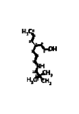 CCC[C@H](CCO)CCCNCC(C)(C)C